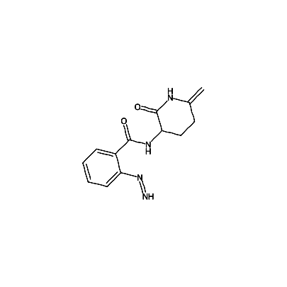 C=C1CCC(NC(=O)c2ccccc2N=N)C(=O)N1